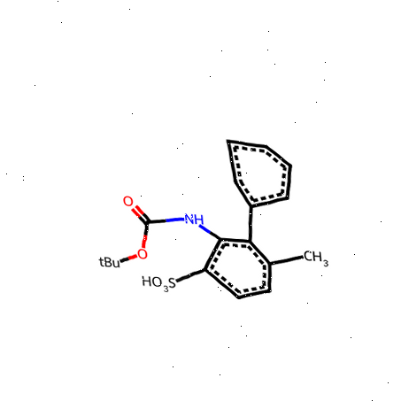 Cc1ccc(S(=O)(=O)O)c(NC(=O)OC(C)(C)C)c1-c1ccccc1